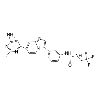 Cc1nc(N)cc(-c2ccn3c(-c4cccc(NC(=O)NCC(F)(F)F)c4)cnc3c2)n1